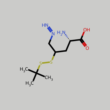 CC(C)(C)SSC(CN=N)C[C@H](N)C(=O)O